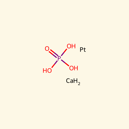 O=P(O)(O)O.[CaH2].[Pt]